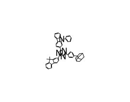 CC1(C)c2ccccc2-c2ccc(-c3nc(-c4ccc(C56CC7CC(CC(C7)C5)C6)cc4)nc(-c4ccc5c6ccccc6n(-c6ccccc6)c5c4)n3)cc21